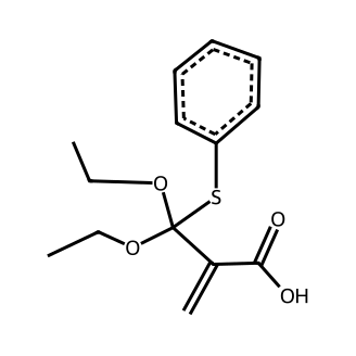 C=C(C(=O)O)C(OCC)(OCC)Sc1ccccc1